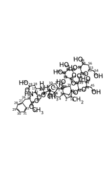 C=C1C[C@@]23CC[C@H]4[C@@](C)(CCC[C@@]4(C)C(=O)NC(CC(=O)O)C(=O)NC(Cc4ccccc4)C(=O)OC)[C@@H]2CC[C@]1(O[C@@H]1O[C@H](CO)[C@@H](O)[C@H](O[C@@H]2O[C@H](CO)C[C@H](O)[C@H]2O)[C@H]1O[C@@H]1OC[C@@H](O)[C@H](O)[C@H]1O)C3